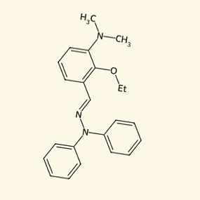 CCOc1c(C=NN(c2ccccc2)c2ccccc2)cccc1N(C)C